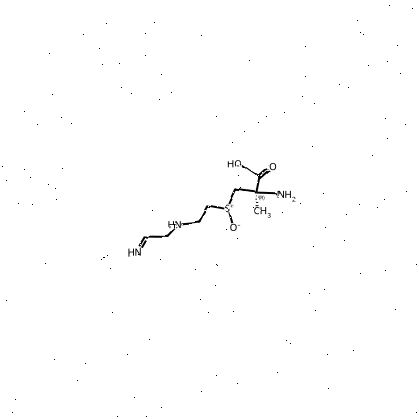 C[C@](N)(C[S+]([O-])CCNCC=N)C(=O)O